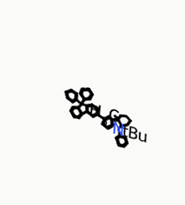 CC(C)(C)C12CCCCC1(C)c1cc(-c3ccc4c(c3)-c3ccccc3C4(c3ccccc3)c3ccccc3)ccc1N2c1ccccc1